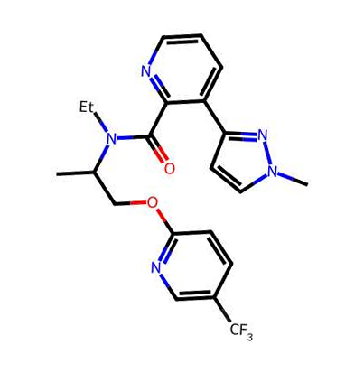 CCN(C(=O)c1ncccc1-c1ccn(C)n1)C(C)COc1ccc(C(F)(F)F)cn1